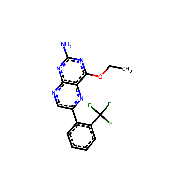 CCOc1nc(N)nc2ncc(-c3ccccc3C(F)(F)F)nc12